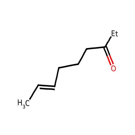 C/C=C/CCCC(=O)CC